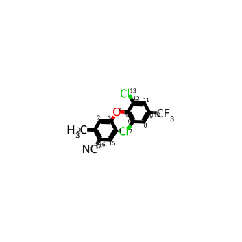 Cc1cc(Oc2c(Cl)cc(C(F)(F)F)cc2Cl)ccc1C#N